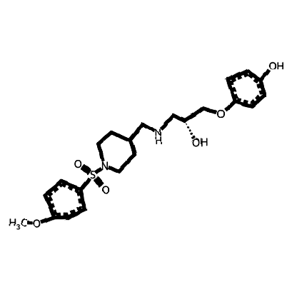 COc1ccc(S(=O)(=O)N2CCC(CNC[C@@H](O)COc3ccc(O)cc3)CC2)cc1